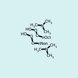 CCCCCCCCCOOO.CCCCCCCCOOO.CN(C)C.CN(C)C